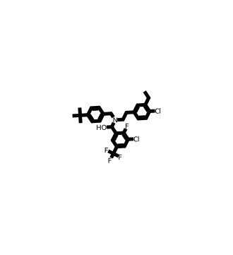 CCc1cc(CCN(Cc2ccc(C(C)(C)C)cc2)C(O)c2cc(C(F)(F)F)cc(Cl)c2F)ccc1Cl